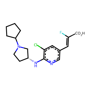 O=C(O)/C(F)=C/c1cnc(N[C@@H]2CCN(C3CCCC3)C2)c(Cl)c1